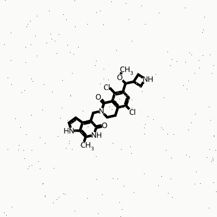 COC(c1cc(Cl)c2c(c1Cl)C(=O)N(Cc1c(=O)[nH]c(C)c3[nH]ccc13)CC2)C1CNC1